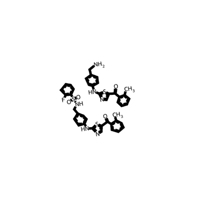 Cc1ccccc1C(=O)c1cnc(Nc2ccc(CN)cc2)s1.Cc1ccccc1C(=O)c1cnc(Nc2ccc(CNS(=O)(=O)c3ccccc3F)cc2)s1